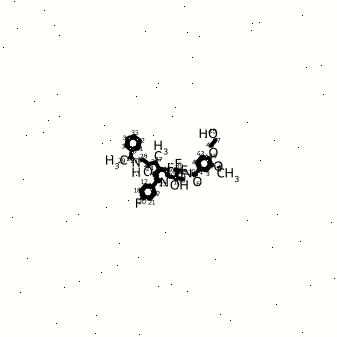 COc1cc(C(=O)NCC(O)(c2cc3c(c(-c4ccc(F)cc4)n2)OC(CN[C@@H](C)c2ccccc2)[C@@H]3C)C(F)(F)F)ccc1OCCO